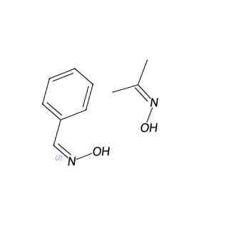 CC(C)=NO.O/N=C\c1ccccc1